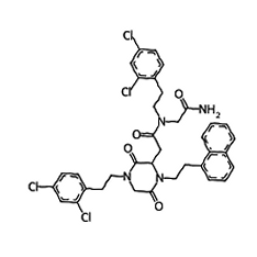 NC(=O)CN(CCc1ccc(Cl)cc1Cl)C(=O)CC1C(=O)N(CCc2ccc(Cl)cc2Cl)CC(=O)N1CCc1cccc2ccccc12